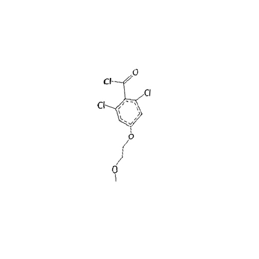 COCCOc1cc(Cl)c(C(=O)Cl)c(Cl)c1